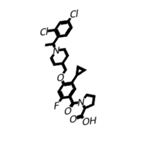 CC(c1ccc(Cl)cc1Cl)N1CCC(COc2cc(F)c(C(=O)N3CCCC3C(=O)O)cc2C2CC2)CC1